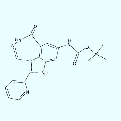 CC(C)(C)OC(=O)Nc1cc2c3c(c(-c4ccccn4)[nH]c3c1)C=NNC2=O